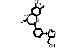 O=C1CC(c2cccc(-n3nncc3CO)c2)=Nc2cc(F)c(C(F)(F)F)cc2N1